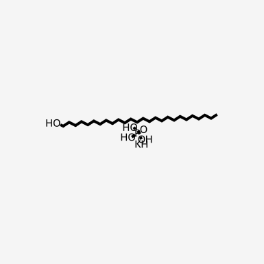 CCCCCCCCCCCCCCCCCCCCCCCCCCO.O=P(O)(O)O.[KH]